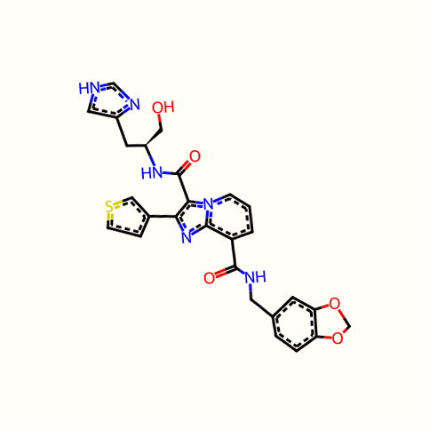 O=C(NCc1ccc2c(c1)OCO2)c1cccn2c(C(=O)N[C@H](CO)Cc3c[nH]cn3)c(-c3ccsc3)nc12